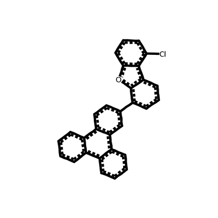 Clc1cccc2oc3c(-c4ccc5c6ccccc6c6ccccc6c5c4)cccc3c12